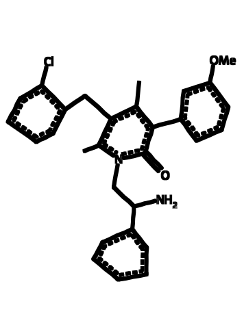 COc1cccc(-c2c(C)c(Cc3ccccc3Cl)c(C)n(CC(N)c3ccccc3)c2=O)c1